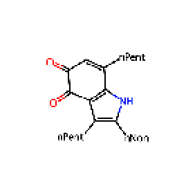 CCCCCCCCCc1[nH]c2c(c1CCCCC)C(=O)C(=O)C=C2CCCCC